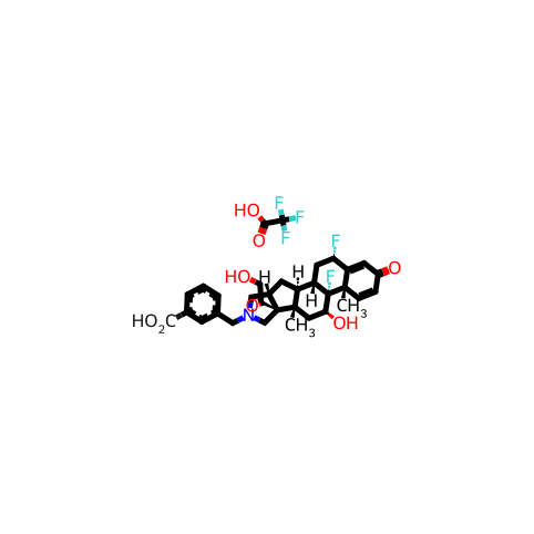 C[C@]12C=CC(=O)C=C1[C@@H](F)C[C@H]1[C@@H]3C[C@H]4CN(Cc5cccc(C(=O)O)c5)C[C@@]4(C(=O)CO)[C@@]3(C)C[C@H](O)[C@@]12F.O=C(O)C(F)(F)F